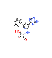 O=c1c(O)c(Nc2cc(-c3nn[nH]n3)cc(-c3ccccc3)n2)c1=O